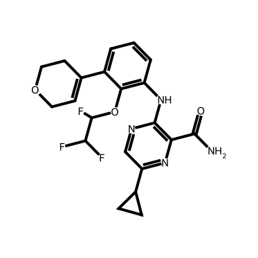 NC(=O)c1nc(C2CC2)cnc1Nc1cccc(C2=CCOCC2)c1OC(F)C(F)F